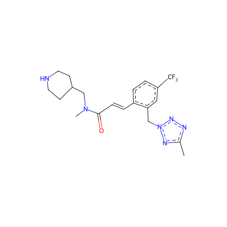 Cc1nnn(Cc2cc(C(F)(F)F)ccc2/C=C/C(=O)N(C)CC2CCNCC2)n1